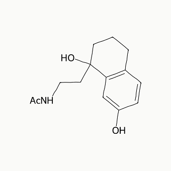 CC(=O)NCCC1(O)CCCc2ccc(O)cc21